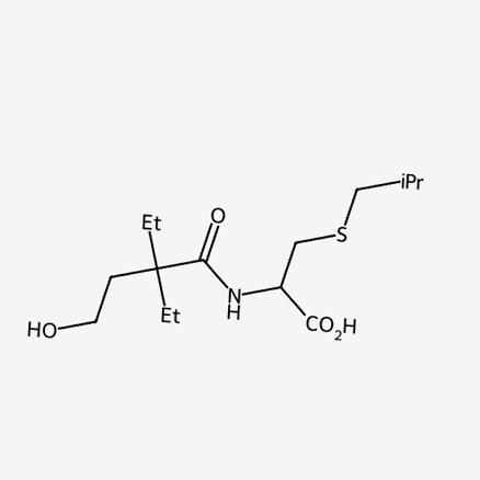 CCC(CC)(CCO)C(=O)NC(CSCC(C)C)C(=O)O